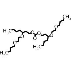 CCCCOCCOC(CCCC)CCOC(=O)OCCC(CCCC)OCCOCCCC